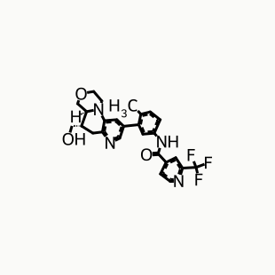 Cc1ccc(NC(=O)c2ccnc(C(F)(F)F)c2)cc1-c1cnc2c(c1)N1CCOC[C@@H]1[C@@H](CO)C2